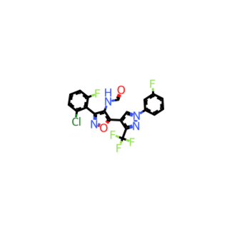 O=CNc1c(-c2c(F)cccc2Cl)noc1-c1cn(-c2cccc(F)c2)nc1C(F)(F)F